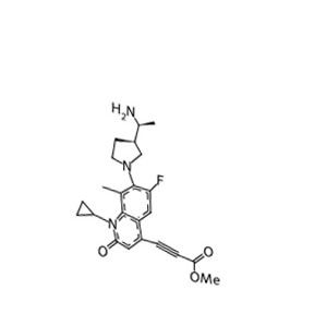 COC(=O)C#Cc1cc(=O)n(C2CC2)c2c(C)c(N3CC[C@@H]([C@H](C)N)C3)c(F)cc12